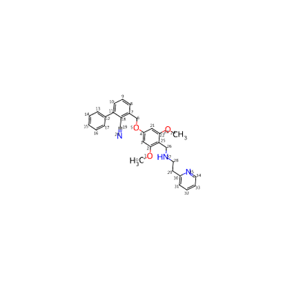 COc1cc(OCc2cccc(-c3ccccc3)c2C#N)cc(OC)c1CNCCc1ccccn1